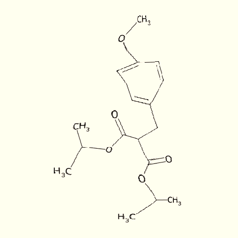 COc1ccc(CC(C(=O)OC(C)C)C(=O)OC(C)C)cc1